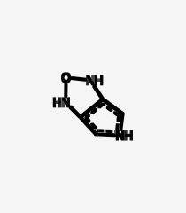 c1[nH]cc2c1NON2